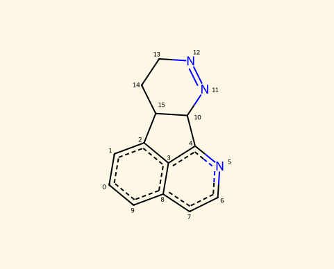 c1cc2c3c(nccc3c1)C1N=NCCC21